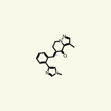 Cc1cnn2c1C(=O)/C(=C/c1ccccc1-c1cn(C)cn1)CC2